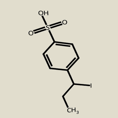 CCC(I)c1ccc(S(=O)(=O)O)cc1